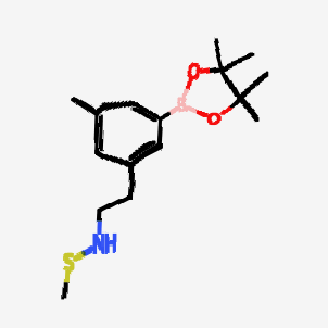 CSNCCc1cc(C)cc(B2OC(C)(C)C(C)(C)O2)c1